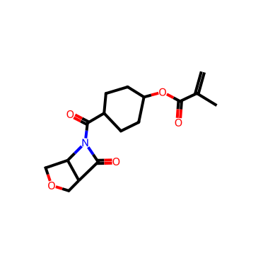 C=C(C)C(=O)OC1CCC(C(=O)N2C(=O)C3COCC32)CC1